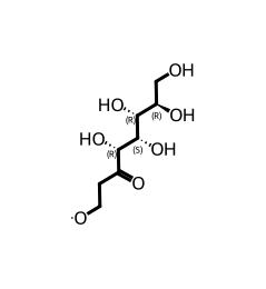 [O]CCC(=O)[C@H](O)[C@@H](O)[C@H](O)[C@H](O)CO